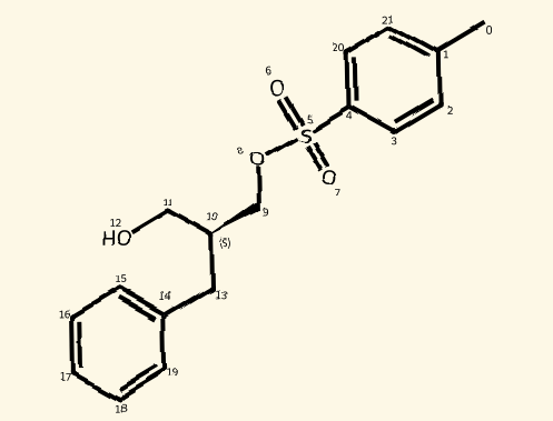 Cc1ccc(S(=O)(=O)OC[C@H](CO)Cc2ccccc2)cc1